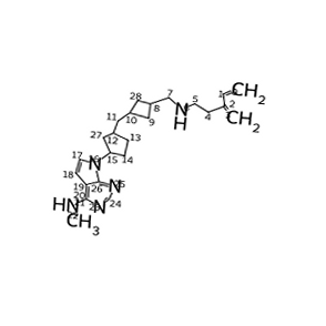 C=CC(=C)CCNCC1CC(CC2CCC(n3ccc4c(NC)ncnc43)C2)C1